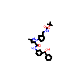 Cc1cc(C(=O)Nc2cccc(C(O)c3ccccc3)c2)n(-c2cccc(CNC(=O)OC(C)(C)C)c2)n1